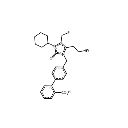 CC(C)CCc1c(CF)n(C2CCCCC2)c(=O)n1Cc1ccc(-c2ccccc2C(=O)O)cc1